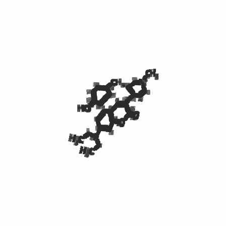 CCN(CC)c1ccc2cc(-c3cc[n+](C)cc3)c(=O)oc2c1.Cc1ccc(O)cc1